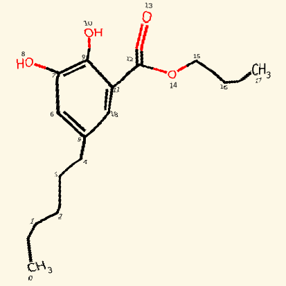 CCCCCc1cc(O)c(O)c(C(=O)OCCC)c1